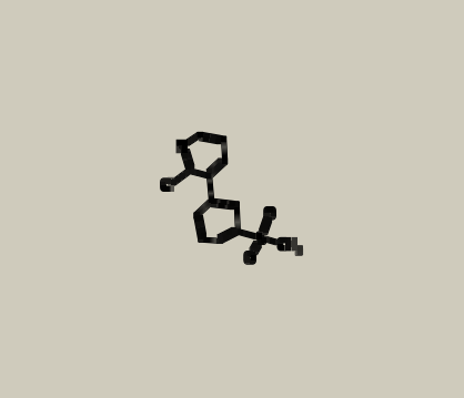 CS(=O)(=O)c1cccc(-c2cccnc2Cl)c1